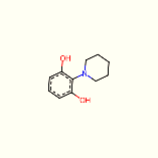 Oc1cccc(O)c1N1CCCCC1